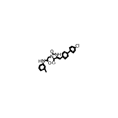 Cc1cccc(NC(=O)CN2C(=O)N/C(=C\c3ccc(-c4ccc(Cl)cc4)cc3)C2=O)c1